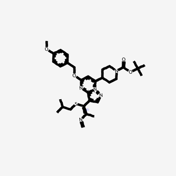 C=N/C(C)=C(\SCC(C)C)c1cnn2c(C3CCN(C(=O)OC(C)(C)C)CC3)cc(OCc3ccc(OC)cc3)nc12